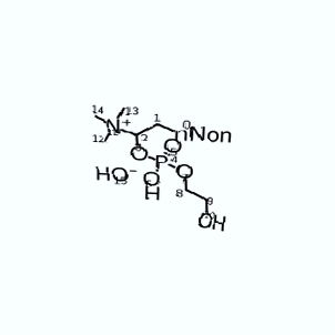 CCCCCCCCCCC(OP(=O)(O)OCCO)[N+](C)(C)C.[OH-]